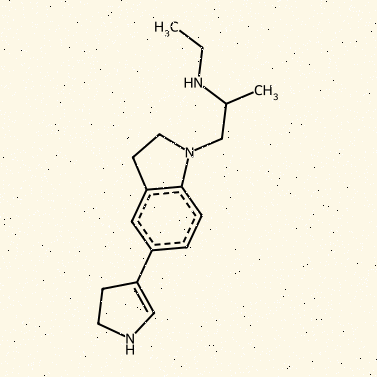 CCNC(C)CN1CCc2cc(C3=CNCC3)ccc21